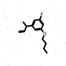 [CH2]C(C=C)c1cc(F)cc(OCCCC)c1